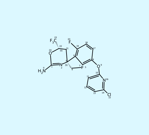 NC1=N[C@](CF)(c2cc(Oc3cccc(Cl)n3)ccc2F)C[C@@H](C(F)(F)F)O1